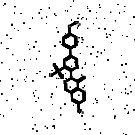 CCS(=O)(=O)c1cc(-c2ccc(OC(F)(F)F)cc2)cnc1-n1ncc2cc(C(F)(F)F)cnc2c1=O